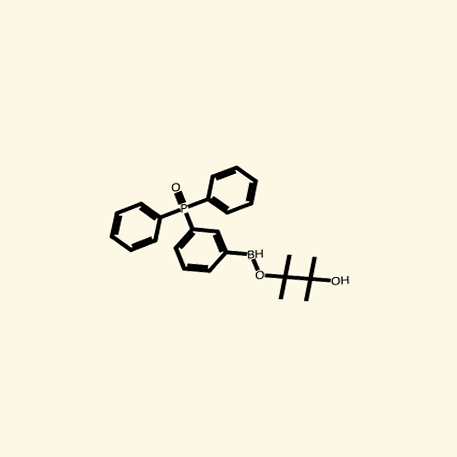 CC(C)(O)C(C)(C)OBc1cccc(P(=O)(c2ccccc2)c2ccccc2)c1